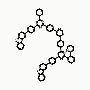 c1ccc(-c2cc(-c3ccc(-c4ccc5sc6ccccc6c5c4)cc3)nc(-c3ccc(-c4cc(-c5ccc(-c6cc(-c7ccc(-c8ccc9sc%10ccccc%10c9c8)cc7)nc(-c7ccccc7-c7ccccn7)n6)cc5)ccn4)cc3)n2)cc1